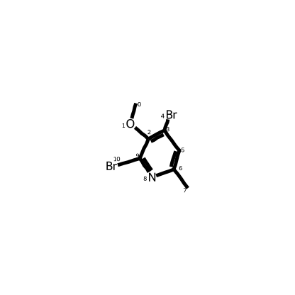 COc1c(Br)cc(C)nc1Br